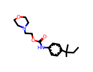 CCC(C)(C)c1ccc(NC(=O)OCCN2CCOCC2)cc1